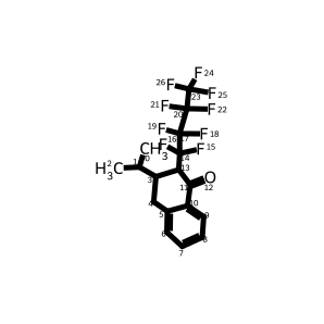 CC(C)C1Cc2ccccc2C(=O)C1C(F)(F)C(F)(F)C(F)(F)C(F)(F)F